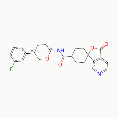 O=C1OC2(CCC(C(=O)N[C@H]3CC[C@H](c4cccc(F)c4)CO3)CC2)c2cnccc21